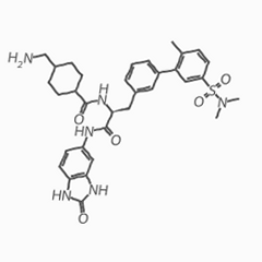 Cc1ccc(S(=O)(=O)N(C)C)cc1-c1cccc(C[C@H](NC(=O)C2CCC(CN)CC2)C(=O)Nc2ccc3[nH]c(=O)[nH]c3c2)c1